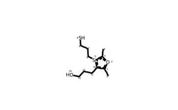 Cc1oc(C)[si](CCCS)c1CCCO